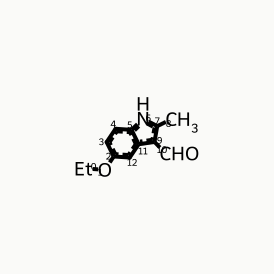 CCOc1ccc2[nH]c(C)c(C=O)c2c1